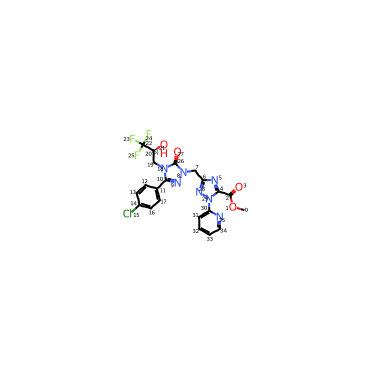 COC(=O)c1nc(Cn2nc(-c3ccc(Cl)cc3)n(C[C@H](O)C(F)(F)F)c2=O)nn1-c1ccccn1